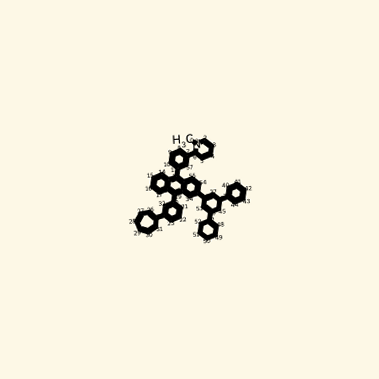 CN1C=CC=CC1c1cccc(-c2c3ccccc3c(-c3cccc(C4=CC=CC=C=C4)c3)c3cc(C4=CC(c5ccccc5)CC(C5=CCCCC5)=C4)ccc23)c1